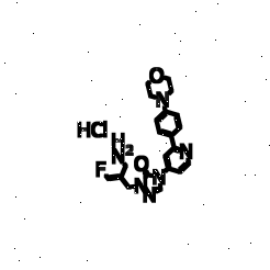 Cl.NC/C(=C\F)Cn1ncn(-c2ccnc(-c3ccc(N4CCOCC4)cc3)c2)c1=O